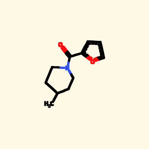 CC1CCN(C(=O)c2ccco2)CC1